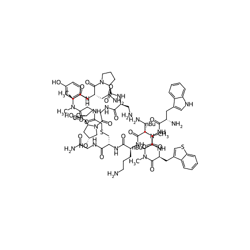 CCCC[C@@H](C(=O)N(C)[C@@H](CCCC)C(=O)N[C@@H](CCCN)C(=O)N[C@@H](CSCC(=O)N[C@@H](Cc1ccc(O)cc1)C(=O)N(C)[C@@H](C)C(=O)N[C@@H](CC(N)=O)C(=O)N1CCC[C@H]1C(=O)N[C@@H](CN)C(=O)N[C@@H](CCC(=O)O)C(=O)N1C[C@H](O)C[C@H]1C=O)C(=O)NCC(N)=O)N(C)C(=O)[C@H](Cc1csc2ccccc12)NC(=O)[C@H](CCN)NC(=O)[C@@H](N)Cc1c[nH]c2ccccc12